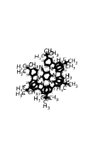 CC(C)(C)c1ccc2c(c1)c1cc(C(C)(C)C)ccc1n2-c1c(C#N)c(-n2c3ccc(C(C)(C)C)cc3c3cc(C(C)(C)C)ccc32)c(-n2c3ccccc3c3ccccc32)c(-n2c3ccc(C(C)(C)C)cc3c3cc(C(C)(C)C)ccc32)c1-n1c2ccccc2c2ccccc21